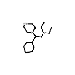 CCN(CC)CC(C1CCCCC1)N1CCNCC1